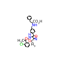 Cc1noc(-c2ccc(CNC(Cc3ccccc3)C(=O)O)cc2)c1NC(=O)O[C@H](C)c1ccccc1Cl